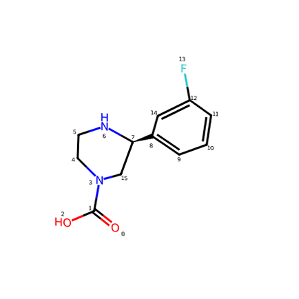 O=C(O)N1CCN[C@@H](c2cccc(F)c2)C1